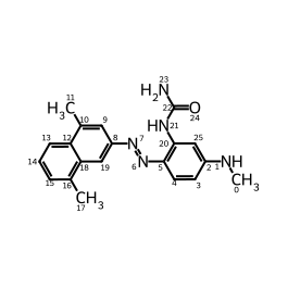 CNc1ccc(N=Nc2cc(C)c3cccc(C)c3c2)c(NC(N)=O)c1